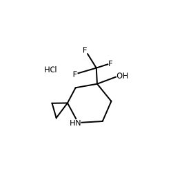 Cl.OC1(C(F)(F)F)CCNC2(CC2)C1